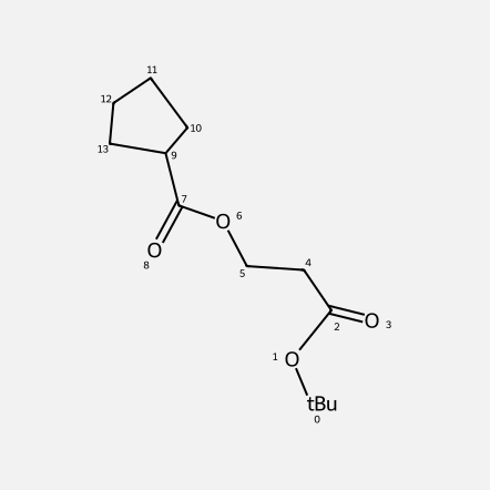 CC(C)(C)OC(=O)CCOC(=O)C1CCCC1